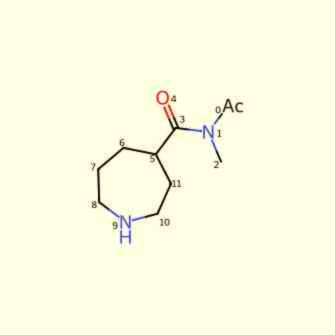 CC(=O)N(C)C(=O)C1CCCNCC1